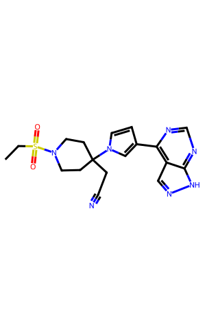 CCS(=O)(=O)N1CCC(CC#N)(n2ccc(-c3ncnc4[nH]ncc34)c2)CC1